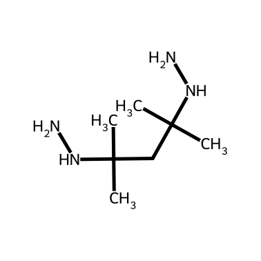 CC(C)(CC(C)(C)NN)NN